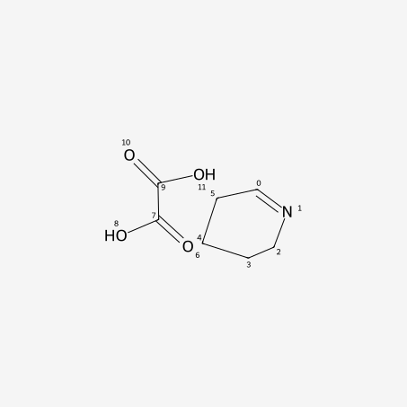 C1=NCCCC1.O=C(O)C(=O)O